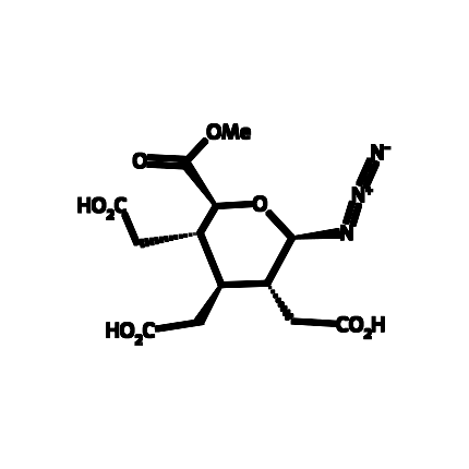 COC(=O)[C@H]1O[C@@H](N=[N+]=[N-])[C@H](CC(=O)O)[C@@H](CC(=O)O)[C@@H]1CC(=O)O